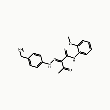 COc1ccccc1NC(=O)/C(=N/Nc1ccc(CN)cc1)C(C)=O